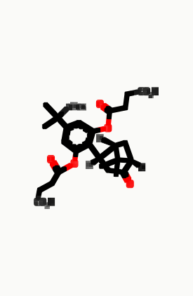 CCCCCCC(C)(C)c1cc(OC(=O)CCC(=O)O)c([C@H]2CC(=O)[C@H]3C[C@@H]2C3(C)C)c(OC(=O)CCC(=O)O)c1